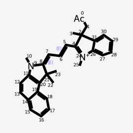 CC(=O)CC1(C)C(/C=C/C=C2/N(C)c3ccc4ccccc4c3C2(C)C)=[N+](C)c2ccccc21